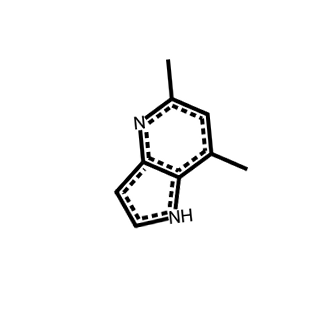 Cc1cc(C)c2[nH]ccc2n1